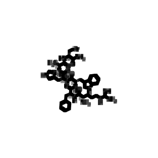 CC(C)C[C@H](NC(=O)[C@H](C)NC(=O)[C@H](Cc1c[nH]cn1)NC(=O)[C@H](Cc1c[nH]c2ccccc12)NC(=O)[C@H](Cc1ccccc1)NC(=O)[C@@H](N)CCCNC(=N)N)C(N)=O